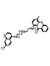 Cc1ccc(NCCNCCNc2ccnc3cc(Cl)ccc23)c2c(=O)c3ccccc3sc12